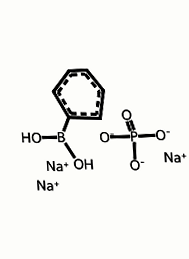 O=P([O-])([O-])[O-].OB(O)c1ccccc1.[Na+].[Na+].[Na+]